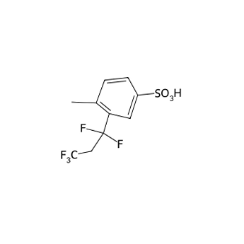 Cc1ccc(S(=O)(=O)O)cc1C(F)(F)CC(F)(F)F